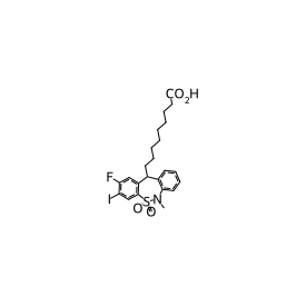 CN1c2ccccc2C(CCCCCCCCC(=O)O)c2cc(F)c(I)cc2S1(=O)=O